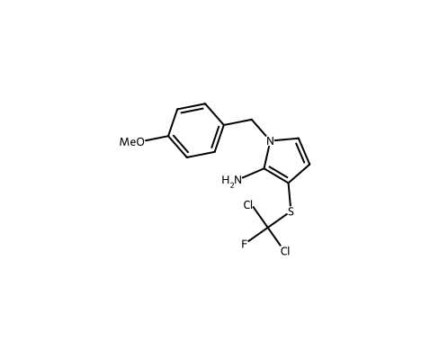 COc1ccc(Cn2ccc(SC(F)(Cl)Cl)c2N)cc1